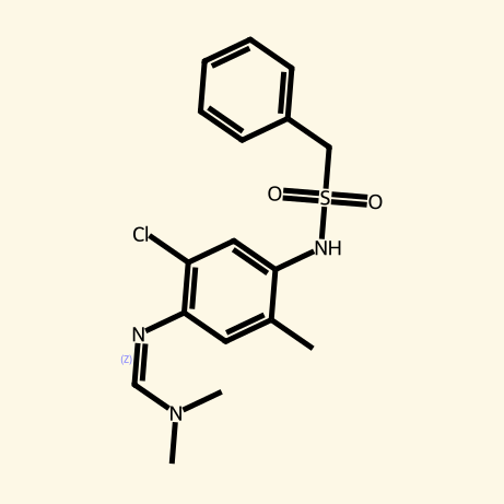 Cc1cc(/N=C\N(C)C)c(Cl)cc1NS(=O)(=O)Cc1ccccc1